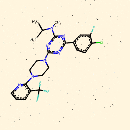 CC(C)N(C)c1nc(-c2ccc(Cl)c(F)c2)nc(N2CCN(c3ncccc3C(F)(F)F)CC2)n1